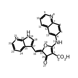 O=C(O)C1=C(Nc2ccc3ncccc3c2)OC(=Cc2c[nH]c3ncccc23)C1=O